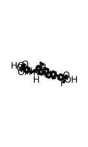 C=C(C)[C@@H]1CC[C@]2(NCCN3CCC(C(=O)O)(C(=O)O)CC3)CC[C@]3(C)[C@H](CCC4[C@@]5(C)CC=C(C6=CC[C@@](CF)(C(=O)O)CC6)C(C)(C)C5CC[C@]43C)C12